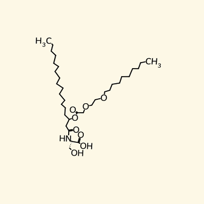 CCCCCCCCCCCCCCCC(CC(=O)N[C@@H](CO)C(=O)O)OC(=O)COCCOCCCCCCCCCC